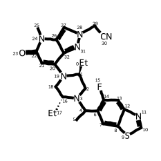 CC[C@H]1CN(C(C)c2cc3scnc3cc2F)[C@H](CC)CN1c1cc(=O)n(C)c2cn(CC#N)nc12